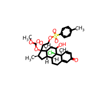 COC(=O)O[C@]1(C(=O)COS(=O)(=O)c2ccc(C)cc2)[C@H](C)C[C@H]2[C@@H]3CCC4=CC(=O)C=C[C@]4(C)[C@@]3(Cl)C(O)C[C@@]21C